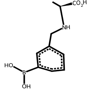 C[C@H](NCc1cccc(B(O)O)c1)C(=O)O